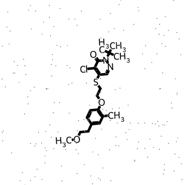 COCCc1ccc(OCCSc2cnn(C(C)(C)C)c(=O)c2Cl)c(C)c1